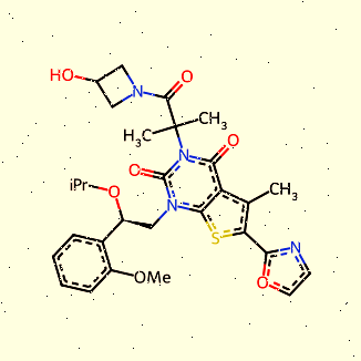 COc1ccccc1[C@H](Cn1c(=O)n(C(C)(C)C(=O)N2CC(O)C2)c(=O)c2c(C)c(-c3ncco3)sc21)OC(C)C